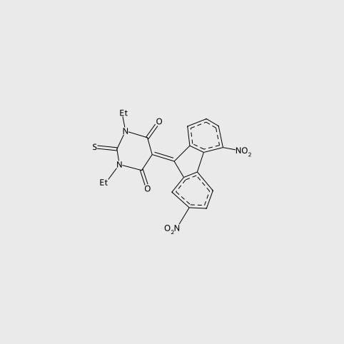 CCN1C(=O)C(=C2c3cc([N+](=O)[O-])ccc3-c3c2cccc3[N+](=O)[O-])C(=O)N(CC)C1=S